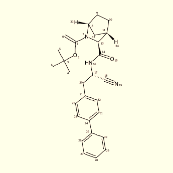 C=C(OC(C)(C)C)N1[C@@H]2CC[C@@H](C2)[C@H]1C(=O)N[C@H](C#N)Cc1ccc(-c2ccccc2)cc1